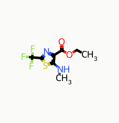 CCOC(=O)c1nc(C(F)(F)F)sc1NC